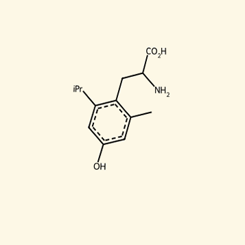 Cc1cc(O)cc(C(C)C)c1CC(N)C(=O)O